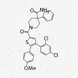 COc1ccc(-c2sc(C(=O)N3CCC(C(N)=O)(c4ccccc4)CC3)cc2-c2ccc(Cl)cc2Cl)cc1